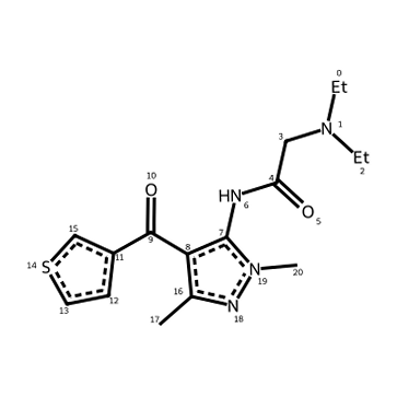 CCN(CC)CC(=O)Nc1c(C(=O)c2ccsc2)c(C)nn1C